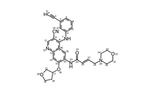 C#Cc1cccc(Nc2c(C#N)cnc3cc(OC4CCOC4)c(NC(=O)C=CCN4CCOCC4)cc23)c1